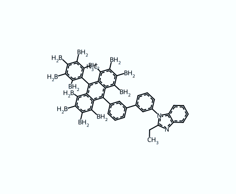 Bc1c(B)c(B)c(-c2c3c(B)c(B)c(B)c(B)c3c(-c3cccc(-c4cccc(-n5c(CC)nc6ccccc65)c4)c3)c3c(B)c(B)c(B)c(C)c23)c(B)c1B